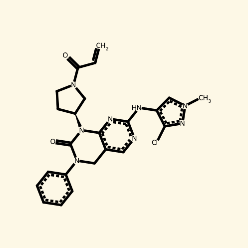 C=CC(=O)N1CC[C@H](N2C(=O)N(c3ccccc3)Cc3cnc(Nc4cn(C)nc4Cl)nc32)C1